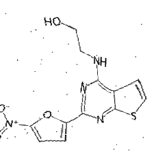 O=[N+]([O-])c1ccc(-c2nc(NCCO)c3ccsc3n2)o1